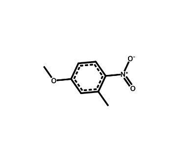 COc1ccc([N+](=O)[O-])c(C)c1